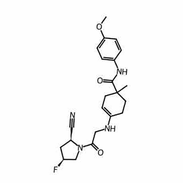 COc1ccc(NC(=O)C2(C)CC=C(NCC(=O)N3C[C@@H](F)C[C@H]3C#N)CC2)cc1